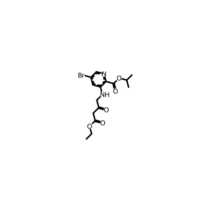 CCOC(=O)CC(=O)CNc1cc(Br)cnc1C(=O)OC(C)C